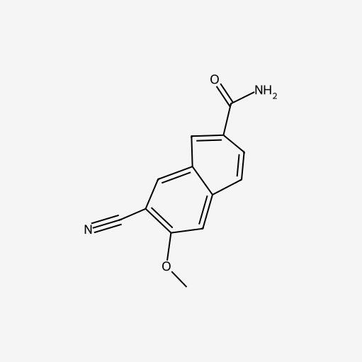 COc1cc2ccc(C(N)=O)cc2cc1C#N